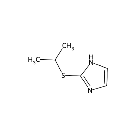 CC(C)Sc1ncc[nH]1